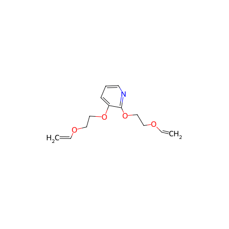 C=COCCOc1cccnc1OCCOC=C